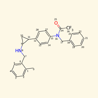 Cc1ccccc1CNC1CC1c1ccc(N(Cc2ccccc2)C(=O)C(F)(F)F)cc1